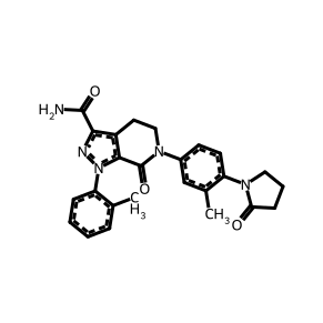 Cc1cc(N2CCc3c(C(N)=O)nn(-c4ccccc4C)c3C2=O)ccc1N1CCCC1=O